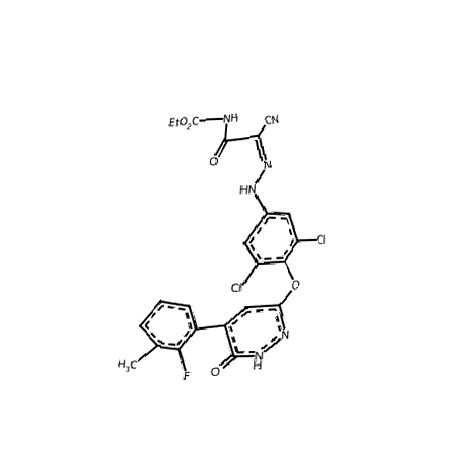 CCOC(=O)NC(=O)C(C#N)=NNc1cc(Cl)c(Oc2cc(-c3cccc(C)c3F)c(=O)[nH]n2)c(Cl)c1